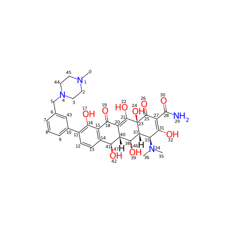 CN1CCN(Cc2cccc(-c3ccc4c(c3O)C(=O)C3=C(O)[C@]5(O)C(=O)C(C(N)=O)=C(O)[C@@H](N(C)C)[C@@H]5[C@@H](O)[C@@H]3[C@H]4O)c2)CC1